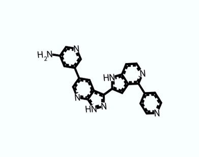 Nc1cncc(-c2cnc3[nH]nc(-c4cc5c(-c6ccncc6)nccc5[nH]4)c3c2)c1